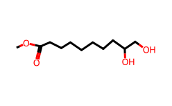 COC(=O)CCCCCCCC(O)CO